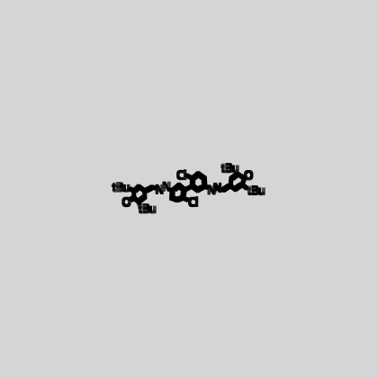 CC(C)(C)C1=CC(=C/N=N/c2ccc(Cl)c(-c3cc(/N=N/C=C4C=C(C(C)(C)C)C(=O)C(C(C)(C)C)=C4)ccc3Cl)c2)C=C(C(C)(C)C)C1=O